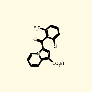 CCOC(=O)c1cc(C(=O)c2c(Cl)cccc2C(F)(F)F)n2ccccc12